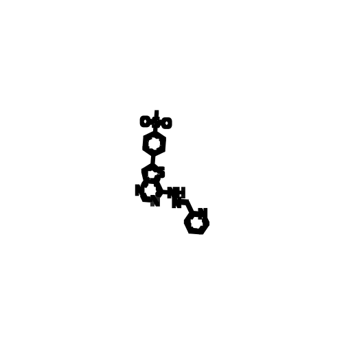 CS(=O)(=O)c1ccc(-c2cc3ncnc(NN=Cc4ccccn4)c3s2)cc1